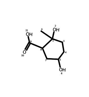 CC1(O)CCC(O)CC1C(=O)O